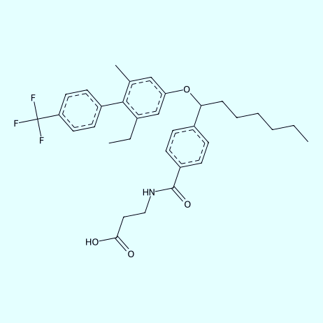 CCCCCCC(Oc1cc(C)c(-c2ccc(C(F)(F)F)cc2)c(CC)c1)c1ccc(C(=O)NCCC(=O)O)cc1